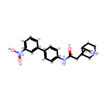 O=C(CC1CN2CCC1CC2)Nc1ccc(-c2cccc([N+](=O)[O-])c2)cc1